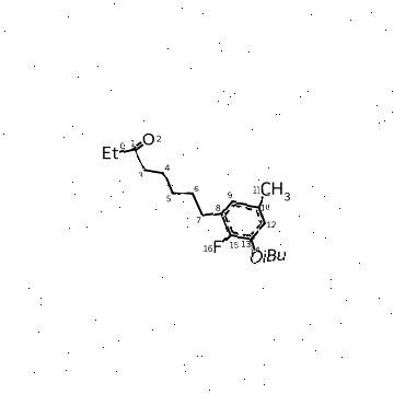 CCC(=O)CCCCCc1cc(C)cc(OCC(C)C)c1F